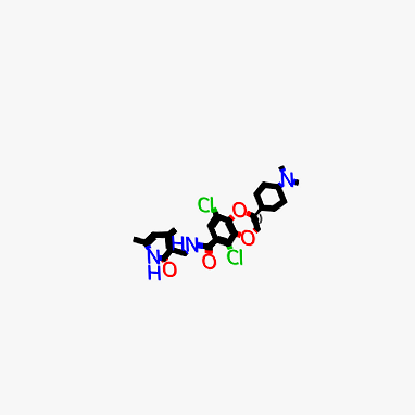 Cc1cc(C)c(CNC(=O)c2cc(Cl)c3c(c2Cl)OC[C@H](C2CCC(N(C)C)CC2)O3)c(=O)[nH]1